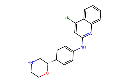 Clc1cc(NC2=CCC([C@H]3CNCCO3)C=C2)nc2ccccc12